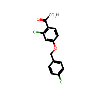 O=C(O)C(=O)c1ccc(OCc2ccc(Cl)cc2)cc1Cl